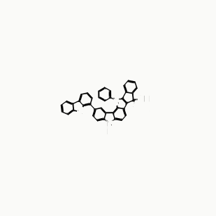 CC1(C)c2ccccc2-c2c1c1ccc3[nH]c4ccc(-c5cccc6c5sc5ccccc56)cc4c3c1n2-c1ccccc1